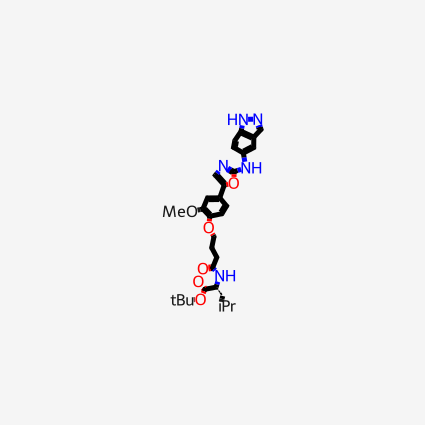 COc1cc(-c2cnc(Nc3ccc4[nH]ncc4c3)o2)ccc1OCCCC(=O)N[C@H](CC(C)C)C(=O)OC(C)(C)C